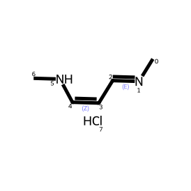 C/N=C/C=C\NC.Cl